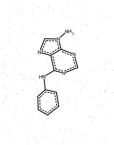 Nn1cnc2c(Nc3ccccc3)ncnc21